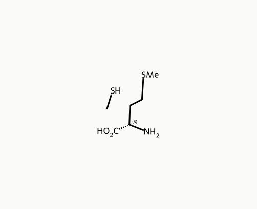 CS.CSCC[C@H](N)C(=O)O